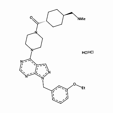 CCOc1cccc(Cn2ncc3c(N4CCN(C(=O)[C@H]5CC[C@H](CNC)CC5)CC4)ncnc32)c1.Cl.Cl